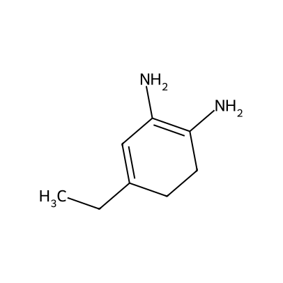 CCC1=CC(N)=C(N)CC1